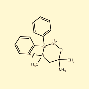 CC1(C)C[Si](C)(C)[Si](c2ccccc2)(c2ccccc2)[SiH2]O1